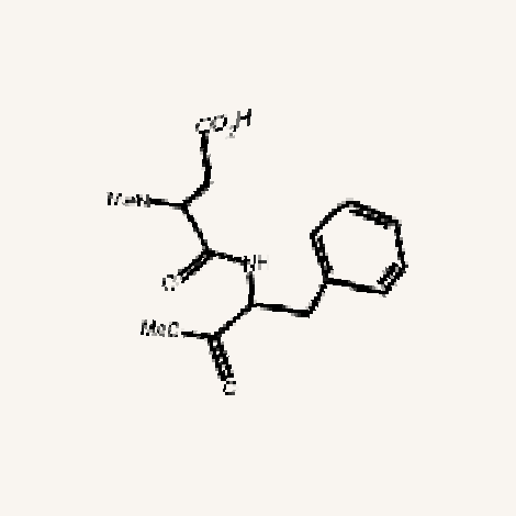 CNC(CC(=O)O)C(=O)NC(Cc1ccccc1)C(=O)OC